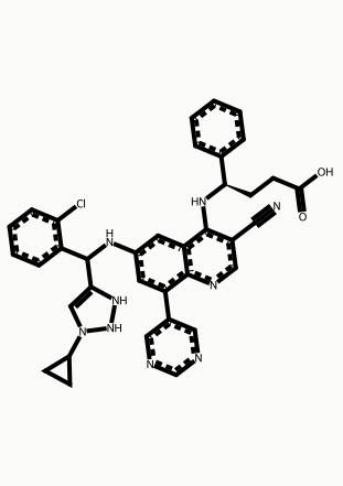 N#Cc1cnc2c(-c3cncnc3)cc(NC(C3=CN(C4CC4)NN3)c3ccccc3Cl)cc2c1N[C@H](CCC(=O)O)c1ccccc1